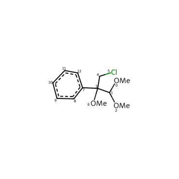 COC(OC)C(CCl)(OC)c1ccccc1